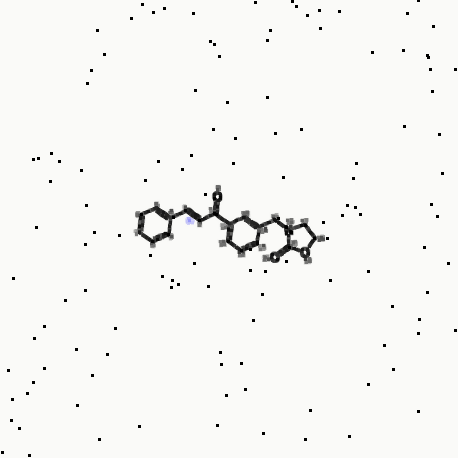 O=C(/C=C/c1ccccc1)c1cccc(CN2CCOC2=O)c1